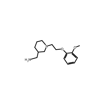 COc1ccccc1OCCN1CCCC(CN)C1